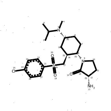 CC(C)N(C)[C@@H]1CC[C@H](N2CC[C@H](N)C2=O)[C@@H](CS(=O)(=O)c2ccc(Cl)cc2)C1